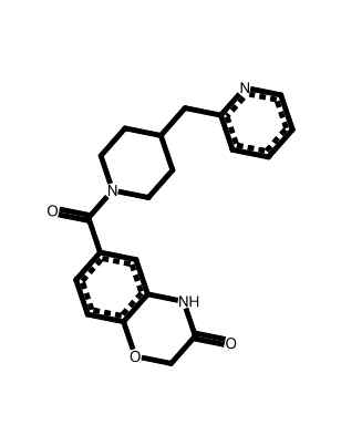 O=C1COc2ccc(C(=O)N3CCC(Cc4ccccn4)CC3)cc2N1